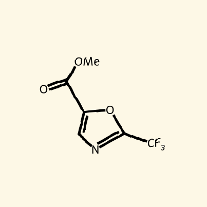 COC(=O)c1cnc(C(F)(F)F)o1